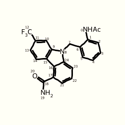 CC(=O)Nc1ccccc1Cn1c2cc(C(F)(F)F)c[c]c2c2c(C(N)=O)cccc21